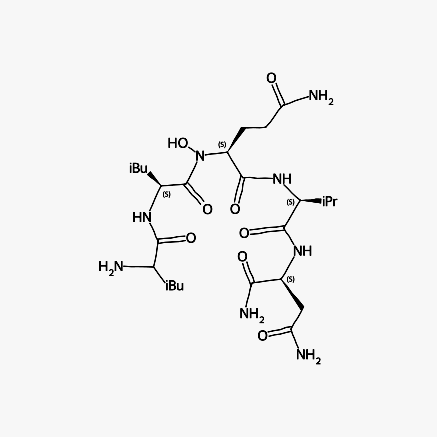 CCC(C)C(N)C(=O)N[C@H](C(=O)N(O)[C@@H](CCC(N)=O)C(=O)N[C@H](C(=O)N[C@@H](CC(N)=O)C(N)=O)C(C)C)C(C)CC